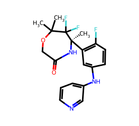 CC1(C)OCC(=O)N[C@](C)(c2cc(Nc3cccnc3)ccc2F)C1(F)F